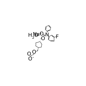 O.O=C([O-])COC[C@H]1CC[C@H](COC(=O)N(c2ccccc2)c2cccc(F)c2)CC1.[Na+]